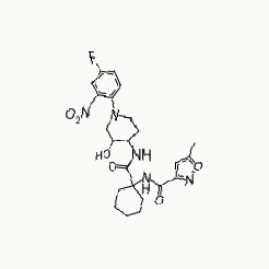 Cc1cc(C(=O)NC2(C(=O)NC3CCN(c4ccc(F)cc4[N+](=O)[O-])CC3O)CCCCC2)no1